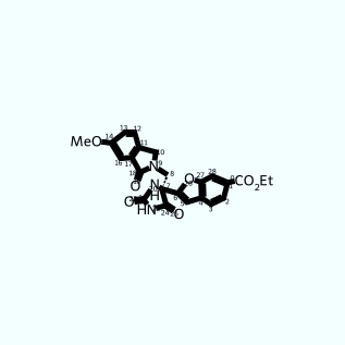 CCOC(=O)c1ccc2cc([C@]3(CN4Cc5ccc(OC)cc5C4=O)NC(=O)NC3=O)oc2c1